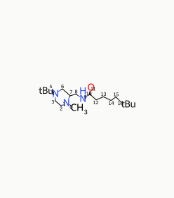 CN1CCN(C(C)(C)C)CC1CNC(=O)CCCCC(C)(C)C